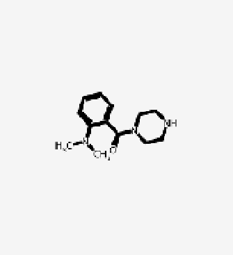 CN(C)c1ccccc1C(=O)N1CCNCC1